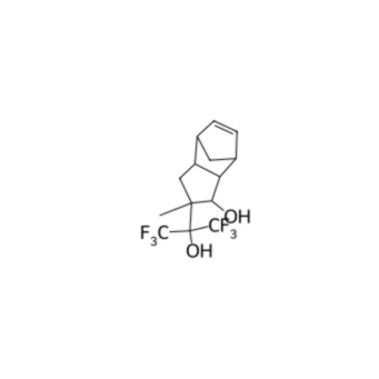 CC1(C(O)(C(F)(F)F)C(F)(F)F)CC2C3C=CC(C3)C2C1O